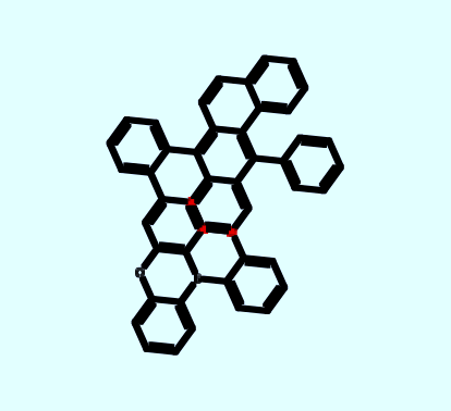 c1ccc(-c2c3ccccc3c(-c3ccccc3-c3cc4c5c(c3)Oc3ccccc3B5c3ccccc3O4)c3ccc4ccccc4c23)cc1